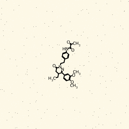 CCC1CC(=O)N(CCc2ccc(NC(=O)C(C)=O)cc2)N=C1c1ccc(OC)c(OC)c1